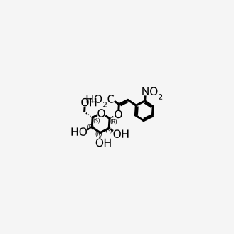 O=C(O)C(=Cc1ccccc1[N+](=O)[O-])O[C@H]1O[C@@H](CO)[C@H](O)[C@@H](O)[C@@H]1O